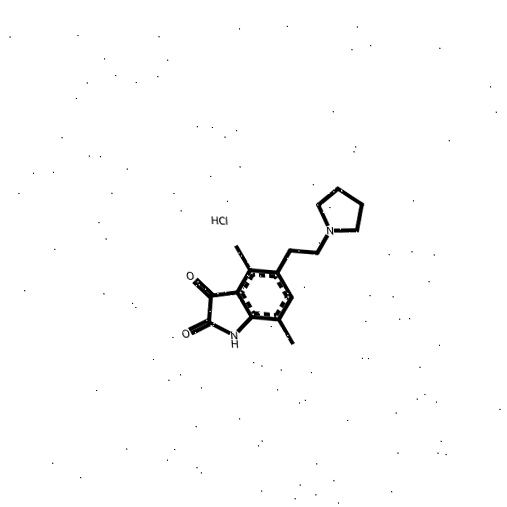 Cc1cc(CCN2CCCC2)c(C)c2c1NC(=O)C2=O.Cl